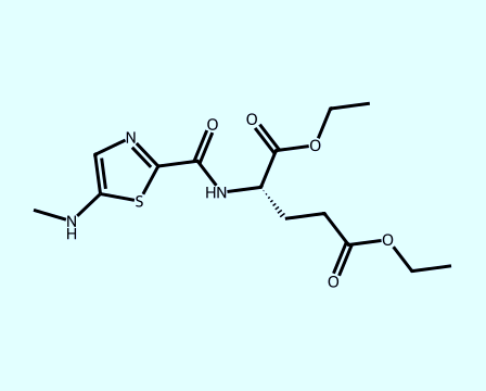 CCOC(=O)CC[C@H](NC(=O)c1ncc(NC)s1)C(=O)OCC